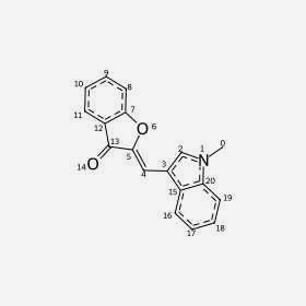 Cn1cc(C=C2Oc3ccccc3C2=O)c2ccccc21